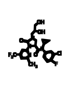 Cc1cc(C(F)(F)F)cc(N2C(=O)N(CC(O)CO)CC2C(=O)N(c2ccc(F)c(Cl)c2)C2CC2)n1